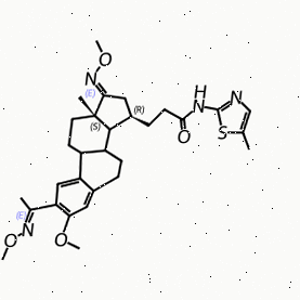 CO/N=C(\C)c1cc2c(cc1OC)CCC1C2CC[C@]2(C)/C(=N/OC)C[C@@H](CCC(=O)Nc3ncc(C)s3)C12